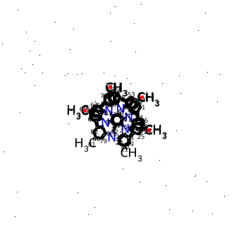 Cc1ccc2c(c1)c1c(n2-c2c(C#N)c(-n3c4c(c5cc(C)ccc53)CC(C)C=C4)c(-n3c4c(c5cc(C)ccc53)CC(C)C=C4)c(-n3c4ccc(C)cc4c4cc(C)ccc43)c2-n2c3c(c4cc(C)ccc42)CC(C)C=C3)C=CC(C)C1